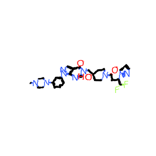 CN1CCN(c2cccc(-n3ncc4c(=O)n(CC5(O)CCN(C(=O)CC(C(F)F)n6cccn6)CC5)cnc43)c2)CC1